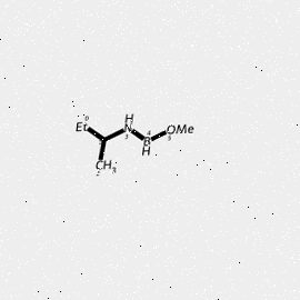 CCC(C)NBOC